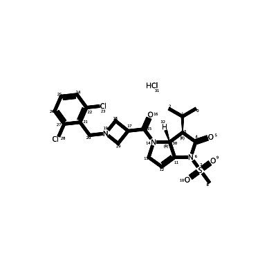 CC(C)[C@H]1C(=O)N(S(C)(=O)=O)C2=CCN(C(=O)C3CN(Cc4c(Cl)cccc4Cl)C3)[C@@H]21.Cl